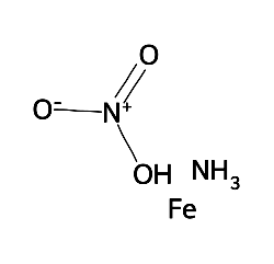 N.O=[N+]([O-])O.[Fe]